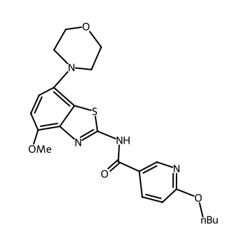 CCCCOc1ccc(C(=O)Nc2nc3c(OC)ccc(N4CCOCC4)c3s2)cn1